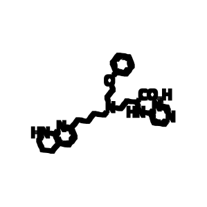 O=C(O)[C@H](CCN(CCCCc1ccc2c(n1)NCCC2)CCOc1ccccc1)Nc1ccncn1